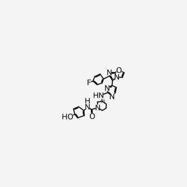 O=C(Nc1ccc(O)cc1)N1CCC[C@@H](Nc2nccc(-c3c(-c4ccc(F)cc4)nc4occn34)n2)C1